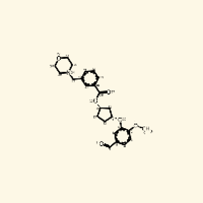 COc1ccc(C=O)cc1O[C@@H]1CC[C@H](OC(=O)c2cccc(CN3CCOCC3)c2)C1